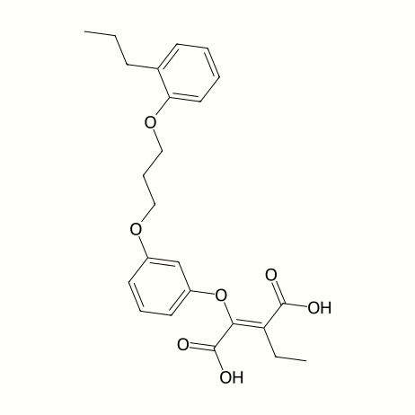 CCCc1ccccc1OCCCOc1cccc(OC(C(=O)O)=C(CC)C(=O)O)c1